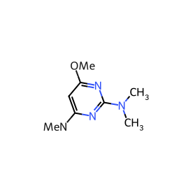 CNc1cc(OC)nc(N(C)C)n1